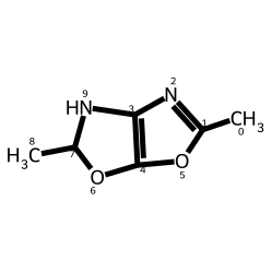 Cc1nc2c(o1)OC(C)N2